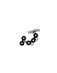 OB(O)c1ccc2oc3cc4oc5ccc(-n6c7ccccc7c7ccccc76)cc5c4cc3c2c1